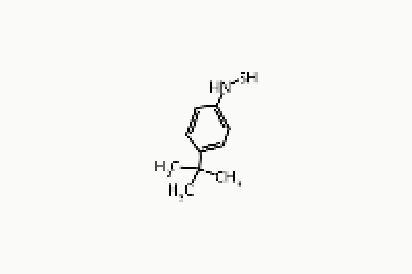 CC(C)(C)c1ccc(NS)cc1